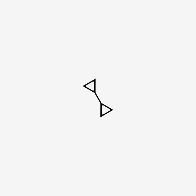 C1CC1C1CC1